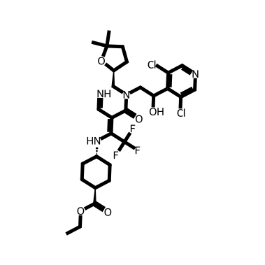 CCOC(=O)[C@H]1CC[C@H](N/C(=C(\C=N)C(=O)N(CC(O)c2c(Cl)cncc2Cl)C[C@@H]2CCC(C)(C)O2)C(F)(F)F)CC1